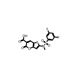 CN(c1cc2oc(=O)c(C(=O)O)cc2s1)S(=O)(=O)c1cc(F)cc(F)c1